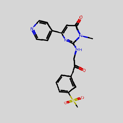 Cn1c(NCC(=O)c2cccc(S(C)(=O)=O)c2)nc(-c2ccncc2)cc1=O